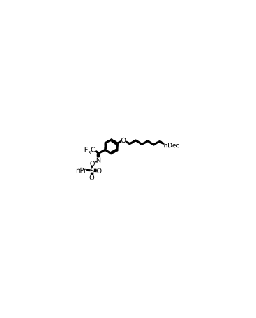 CCCCCCCCCCCCCCCCOc1ccc(C(=NOS(=O)(=O)CCC)C(F)(F)F)cc1